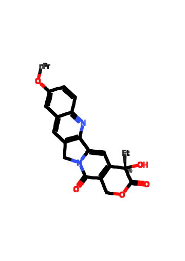 CCCOc1ccc2nc3c(cc2c1)Cn1c-3cc2c(c1=O)COC(=O)[C@]2(O)CC